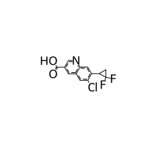 O=C(O)c1cnc2cc(C3CC3(F)F)c(Cl)cc2c1